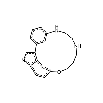 c1cc2cc(c1)-c1cnn3ccc(nc13)OCCCNCCN2